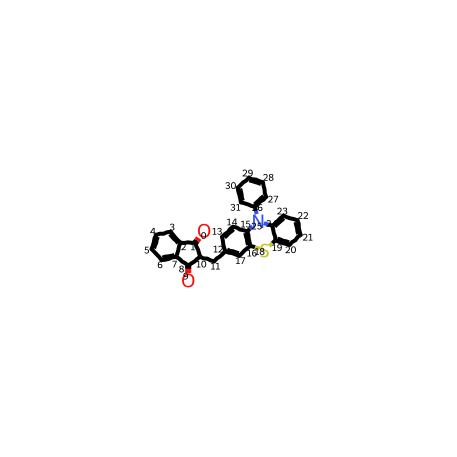 O=C1c2ccccc2C(=O)C1Cc1ccc2c(c1)Sc1ccccc1N2c1ccccc1